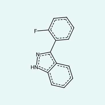 Fc1ccccc1-c1n[nH]c2ccccc12